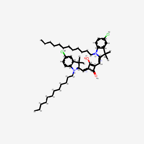 CCCCCCCCCCCCN1/C(=C\C2=C(O)C(=C\C3=[N+](CCCCCCCCCCCC)c4ccc(Cl)cc4C3(C)C)/C2=O)C(C)(C)c2cc(Cl)ccc21